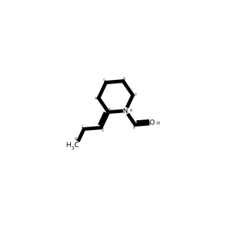 CCC=C1CCCCN1C=O